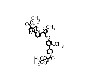 CCOC(=O)c1cnn(-c2cccc(-c3sc(C)cc3COc3ccc(C4CCN(C(=O)C5COC(C)(C)O5)CC4)c(CC)c3)n2)c1C(F)(F)F